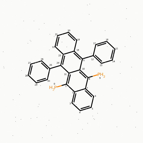 Pc1c2ccccc2c(P)c2c(-c3ccccc3)c3ccccc3c(-c3ccccc3)c12